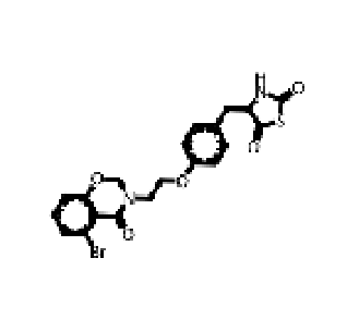 O=C1NC(Cc2ccc(OCCN3COc4cccc(Br)c4C3=O)cc2)C(=O)S1